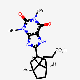 CCCn1c(=O)c2[nH]c(C3C[C@H]4CC[C@@H](C3)[C@@H]4CCC(=O)O)nc2n(CCC)c1=O